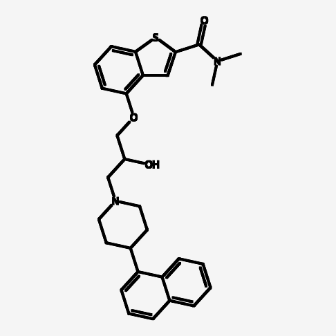 CN(C)C(=O)c1cc2c(OCC(O)CN3CCC(c4cccc5ccccc45)CC3)cccc2s1